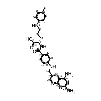 Cc1ccc(NCCC[C@H](NC(=O)c2ccc(NCc3cnc4nc(N)nc(N)c4n3)cc2)C(=O)O)cc1